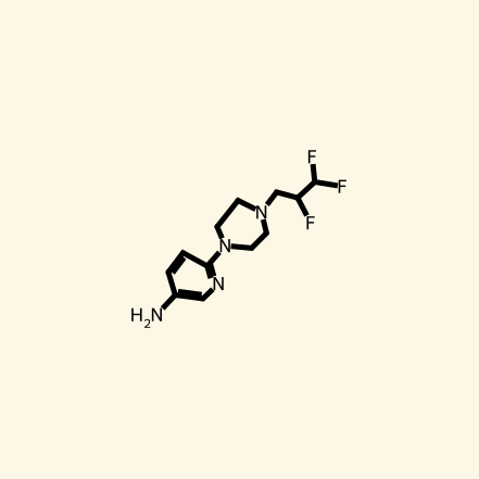 Nc1ccc(N2CCN(CC(F)C(F)F)CC2)nc1